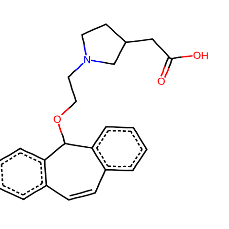 O=C(O)CC1CCN(CCOC2c3ccccc3C=Cc3ccccc32)C1